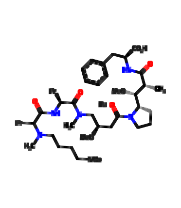 CC[C@H](C)C([C@@H](CC(=O)N1CCC[C@H]1[C@H](OC)[C@@H](C)C(=O)N[C@@H](Cc1ccccc1)C(=O)O)OC)N(C)C(=O)[C@@H](NC(=O)C(C(C)C)N(C)CCCCNC)C(C)C